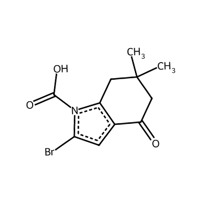 CC1(C)CC(=O)c2cc(Br)n(C(=O)O)c2C1